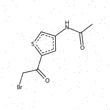 CC(=O)Nc1csc(C(=O)CBr)c1